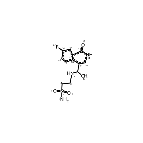 CC(NCCS(N)(=O)=O)c1c[nH]c(=O)c2cc(F)ccc12